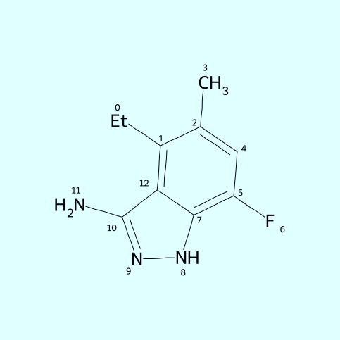 CCc1c(C)cc(F)c2[nH]nc(N)c12